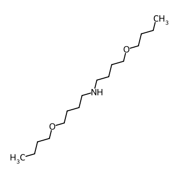 CCCCOCCCCNCCCCOCCCC